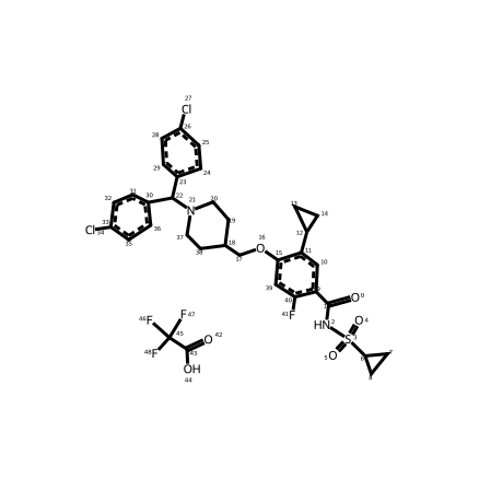 O=C(NS(=O)(=O)C1CC1)c1cc(C2CC2)c(OCC2CCN(C(c3ccc(Cl)cc3)c3ccc(Cl)cc3)CC2)cc1F.O=C(O)C(F)(F)F